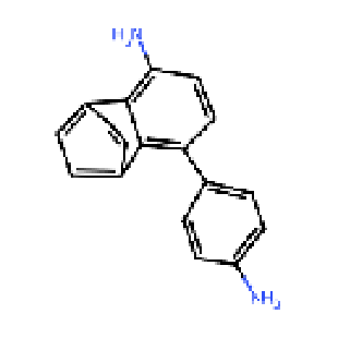 Nc1ccc(-c2ccc(N)c3c4ccc(cc4)c23)cc1